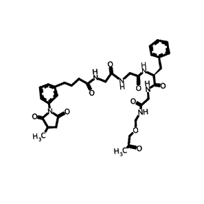 CC(=O)COCNC(=O)CNC(=O)[C@H](Cc1ccccc1)NC(=O)CNC(=O)CNC(=O)CCCc1cccc(N2C(=O)CC(C)C2=O)c1